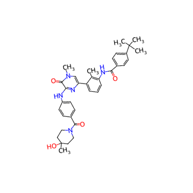 Cc1c(NC(=O)c2ccc(C(C)(C)C)cc2)cccc1-c1cn(C)c(=O)c(Nc2ccc(C(=O)N3CCC(C)(O)CC3)cc2)n1